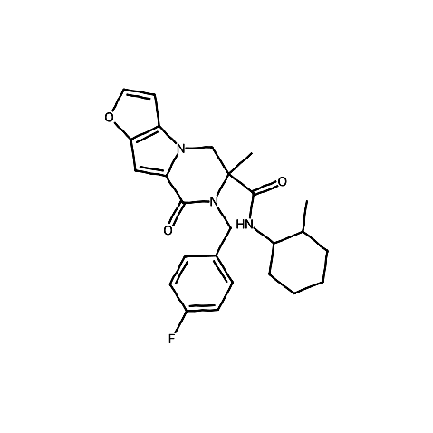 CC1CCCCC1NC(=O)C1(C)Cn2c(cc3occc32)C(=O)N1Cc1ccc(F)cc1